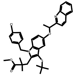 COC(=O)C(C)(C)Cc1c(SC(C)(C)C)c2cc(OC(C)c3ccc4ccccc4n3)ccc2n1Cc1ccc(Cl)cc1